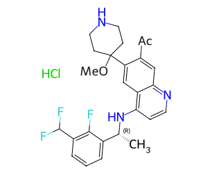 COC1(c2cc3c(N[C@H](C)c4cccc(C(F)F)c4F)ccnc3cc2C(C)=O)CCNCC1.Cl